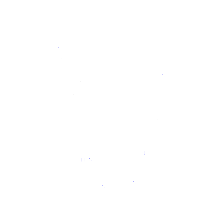 C=C(C)C(=O)Nc1ccc(-c2c(C3CCC(C(=O)[C@H]4OC[C@@]45CCCN5)CC3)c3c(N)ncnc3n2C)c(C)c1